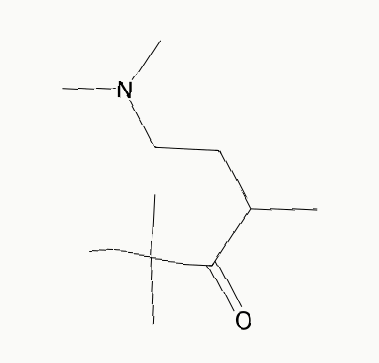 CC(CCN(C)C)C(=O)C(C)(C)C